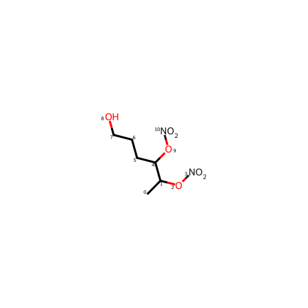 CC(O[N+](=O)[O-])C(CCCO)O[N+](=O)[O-]